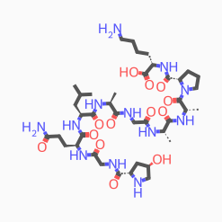 CC(C)C[C@H](NC(=O)[C@H](CCC(N)=O)NC(=O)CNC(=O)[C@@H]1C[C@@H](O)CN1)C(=O)N[C@@H](C)C(=O)NCC(=O)N[C@@H](C)C(=O)N[C@@H](C)C(=O)N1CCC[C@H]1C(=O)N[C@@H](CCCCN)C(=O)O